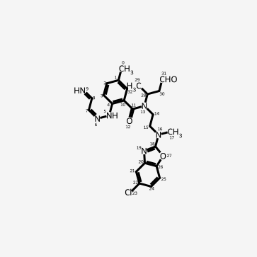 Cc1ccc(N/N=C\C=N)c(C(=O)N(CCN(C)c2nc3cc(Cl)ccc3o2)C(C)CC=O)c1